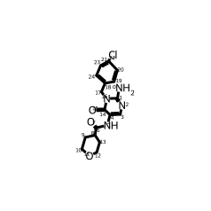 Nc1ncc(NC(=O)C2CCOCC2)c(=O)n1Cc1ccc(Cl)cc1